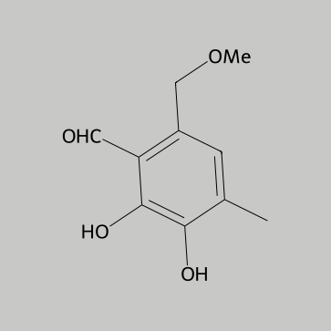 COCc1cc(C)c(O)c(O)c1C=O